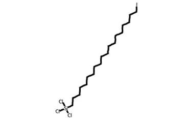 Cl[Si](Cl)(Cl)CCCCCCCCCCCCCCCCCCCI